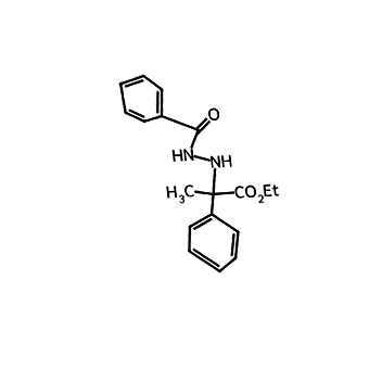 CCOC(=O)C(C)(NNC(=O)c1ccccc1)c1ccccc1